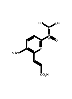 CCCCCCc1ccc([PH](=O)P(O)O)nc1C=CC(=O)O